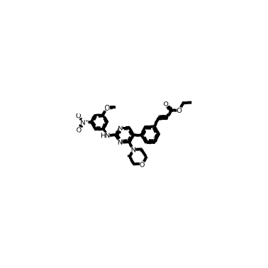 CCOC(=O)/C=C/c1cccc(-c2cnc(Nc3cc(OC)cc([N+](=O)[O-])c3)nc2N2CCOCC2)c1